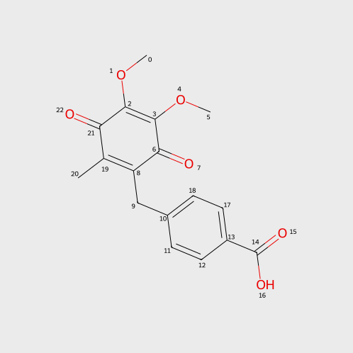 COC1=C(OC)C(=O)C(Cc2ccc(C(=O)O)cc2)=C(C)C1=O